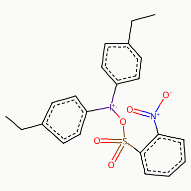 CCc1ccc([I+](OS(=O)(=O)c2ccccc2[N+](=O)[O-])c2ccc(CC)cc2)cc1